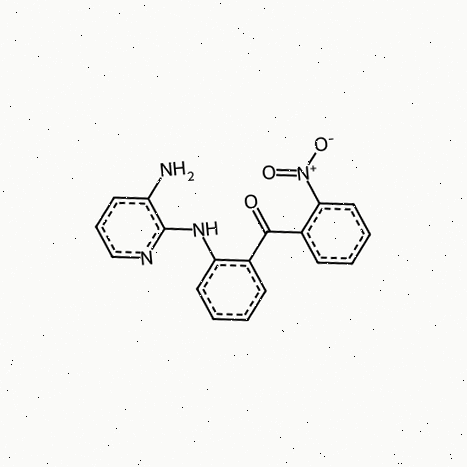 Nc1cccnc1Nc1ccccc1C(=O)c1ccccc1[N+](=O)[O-]